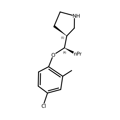 CCC[C@@H](Oc1ccc(Cl)cc1C)[C@H]1CCNC1